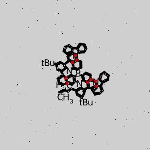 C/C=C\C=C(/C)c1cc(C(C)(C)C)cc(-c2ccccc2)c1N1c2cc(-n3c4ccccc4c4ccccc43)ccc2B2c3ccc(-n4c5ccccc5c5ccccc54)cc3N(c3c(-c4ccccc4)cc(C(C)(C)C)cc3-c3ccccc3)c3cccc1c32